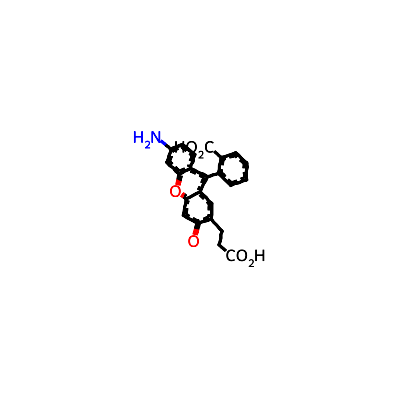 Nc1ccc2c(-c3ccccc3C(=O)O)c3cc(CCC(=O)O)c(=O)cc-3oc2c1